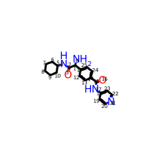 NC(C(=O)NC1CCCCC1)c1ccc(C(=O)Nc2ccncc2)cc1